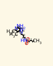 CCCCS(=O)(=O)NCCCCn1cnc2c(N)nc(C)c(C)c21